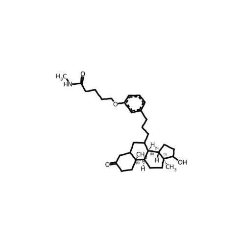 CNC(=O)CCCCOc1cccc(CCCC2CC3CC(=O)CC[C@]3(C)[C@@H]3CC[C@]4(C)C(O)CC[C@H]4[C@H]23)c1